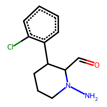 NN1CCCC(c2ccccc2Cl)C1C=O